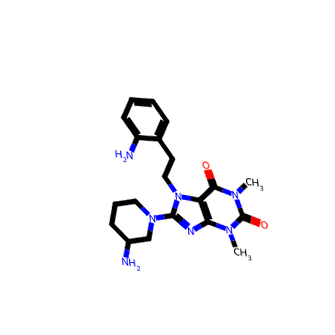 Cn1c(=O)c2c(nc(N3CCCC(N)C3)n2CCc2ccccc2N)n(C)c1=O